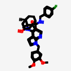 COc1ccc(Cn2ccc3c(N[C@H]4[C@@H]5CCC[C@H]4CC(O)C5)c(C(=O)NCc4ccc(F)cc4)cnc32)cc1OC